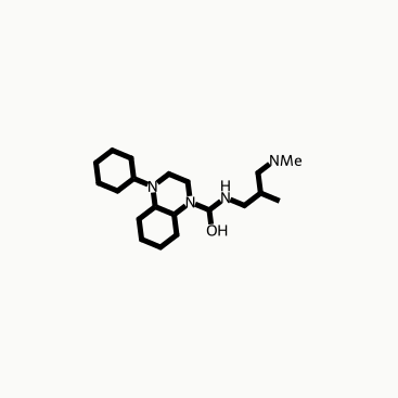 CNCC(C)CNC(O)N1CCN(C2CCCCC2)C2CCCCC21